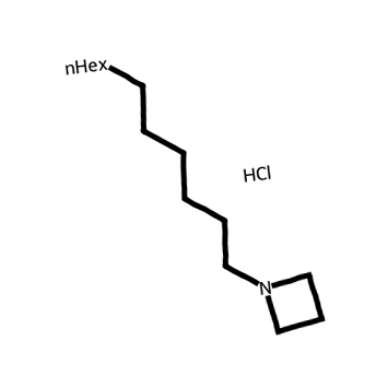 CCCCCCCCCCCCN1CCC1.Cl